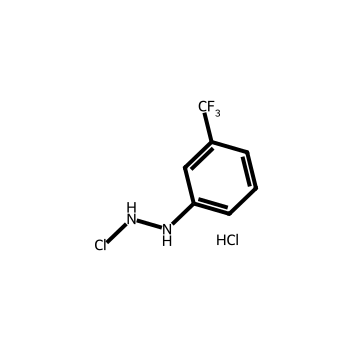 Cl.FC(F)(F)c1cccc(NNCl)c1